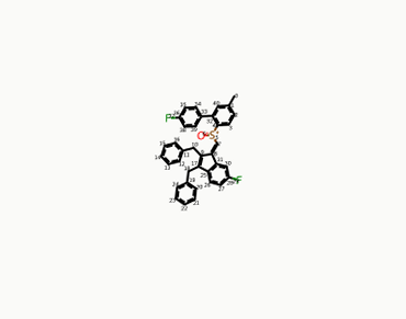 Cc1ccc([S+]([O-])/C=C2\C(Cc3ccccc3)=C(Cc3ccccc3)c3ccc(F)cc32)c(-c2ccc(F)cc2)c1